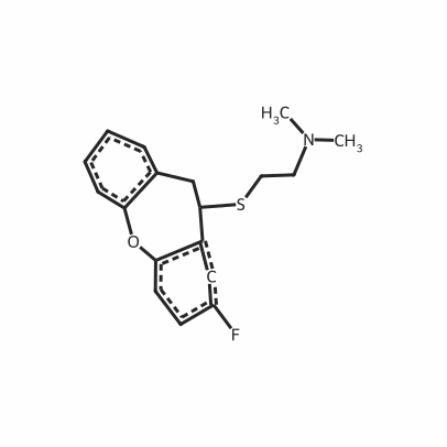 CN(C)CCSC1Cc2ccccc2Oc2ccc(F)cc21